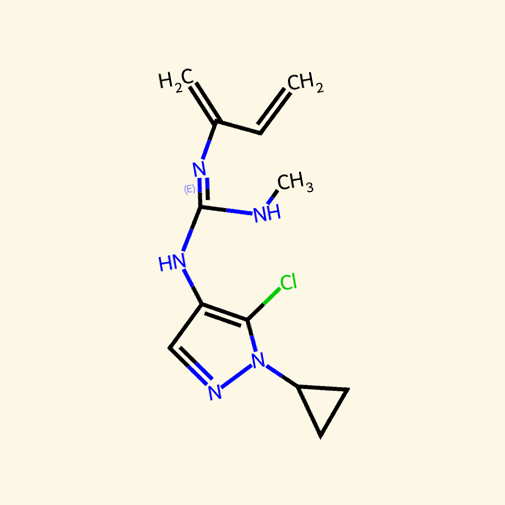 C=CC(=C)/N=C(\NC)Nc1cnn(C2CC2)c1Cl